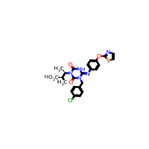 C[C@@H](C(=O)O)[C@H](C)n1c(=O)[nH]/c(=N\c2ccc(Oc3nccs3)cc2)n(Cc2ccc(Cl)cc2)c1=O